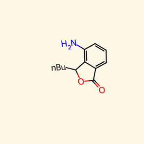 CCCCC1OC(=O)c2cccc(N)c21